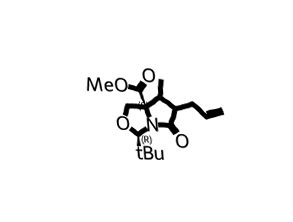 C=CCC1C(=O)N2[C@@H](C(C)(C)C)OC[C@]2(C(=O)OC)C1C